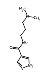 CN(C)CCCNC(=O)c1cn[nH]c1